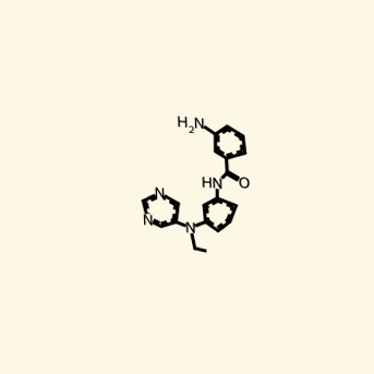 CCN(c1cncnc1)c1cccc(NC(=O)c2cccc(N)c2)c1